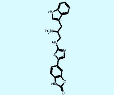 NC(CNc1ncc(-c2ccc3[nH]c(=O)oc3c2)s1)Cc1c[nH]c2ccccc12